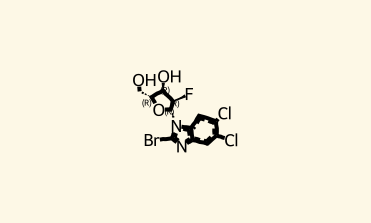 OC[C@H]1O[C@@H](n2c(Br)nc3cc(Cl)c(Cl)cc32)[C@H](F)[C@@H]1O